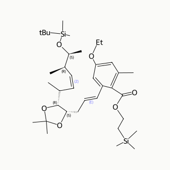 CCOc1cc(C)c(C(=O)OCC[Si](C)(C)C)c(/C=C/C[C@@H]2OC(C)(C)O[C@@H]2C(C)/C=C\[C@@H](C)[C@H](C)O[Si](C)(C)C(C)(C)C)c1